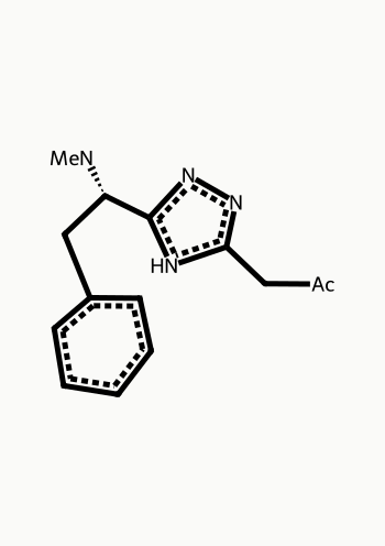 CN[C@@H](Cc1ccccc1)c1nnc(CC(C)=O)[nH]1